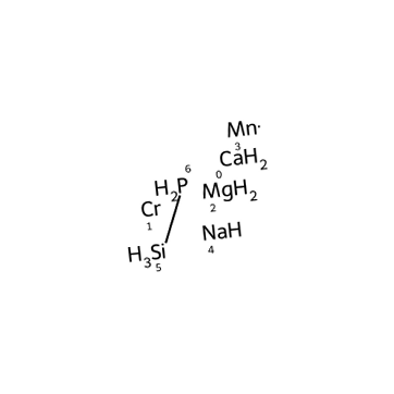 [CaH2].[Cr].[MgH2].[Mn].[NaH].[SiH3]P